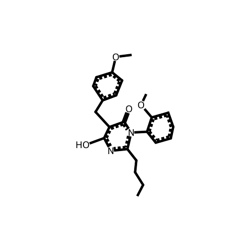 CCCCc1nc(O)c(Cc2ccc(OC)cc2)c(=O)n1-c1ccccc1OC